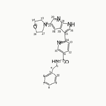 O=C(NCCc1ccccc1)c1ccc(-c2c[nH]c3ncc(N4CCOCC4)cc23)nc1